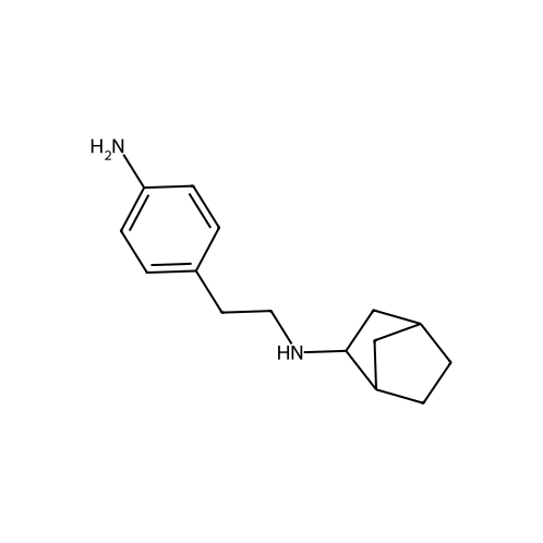 Nc1ccc(CCNC2CC3CCC2C3)cc1